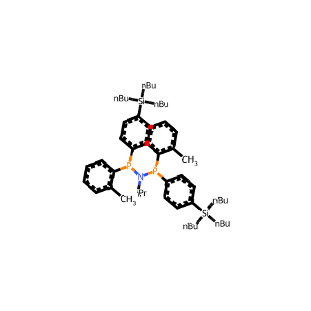 CCCC[Si](CCCC)(CCCC)c1ccc(P(c2ccccc2C)N(C(C)C)P(c2ccc([Si](CCCC)(CCCC)CCCC)cc2)c2ccccc2C)cc1